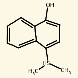 C[SH](C)c1ccc(O)c2ccccc12